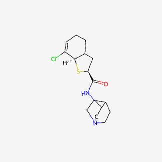 O=C(NC1CN2CCC1CC2)[C@@H]1CC2CCC=C(Cl)[C@@H]2S1